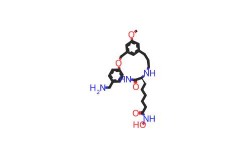 COc1cc2cc(c1)COc1ccc(CN)cc1NC(=O)[C@H](CCCCCC(=O)NO)NCCC2